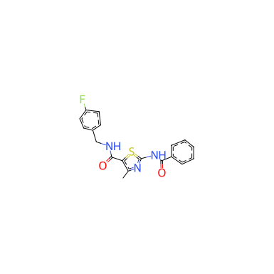 Cc1nc(NC(=O)c2ccccc2)sc1C(=O)NCc1ccc(F)cc1